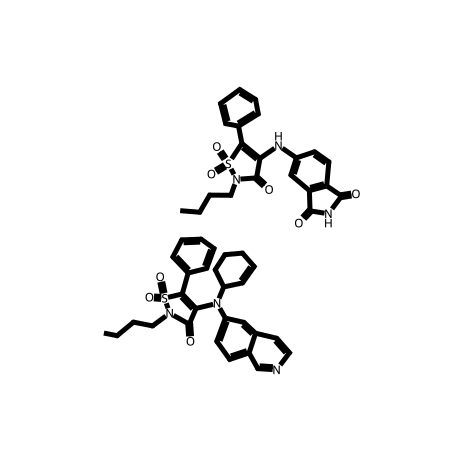 CCCCN1C(=O)C(N(c2ccc3cnccc3c2)C2C=CCCC2)=C(c2ccccc2)S1(=O)=O.CCCCN1C(=O)C(Nc2ccc3c(c2)C(=O)NC3=O)=C(c2ccccc2)S1(=O)=O